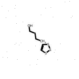 C1=CSSS1.CCCCO